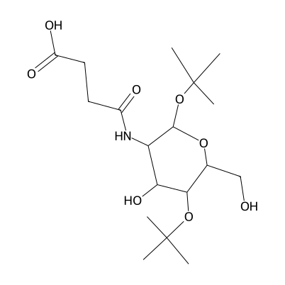 CC(C)(C)OC1OC(CO)C(OC(C)(C)C)C(O)C1NC(=O)CCC(=O)O